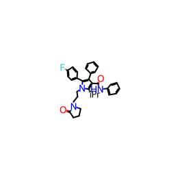 CC(C)c1c(C(=O)Nc2ccccc2)c(-c2ccccc2)c(-c2ccc(F)cc2)n1CCCN1CCCC1=O